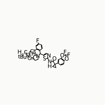 CC(C)(C)[Si](C)(C)O[C@H]1CCN(C(c2cnc(NC(=O)C3(c4ccc5c(c4)OC(F)(F)O5)CC3)s2)c2ccc(F)cc2Cl)C1